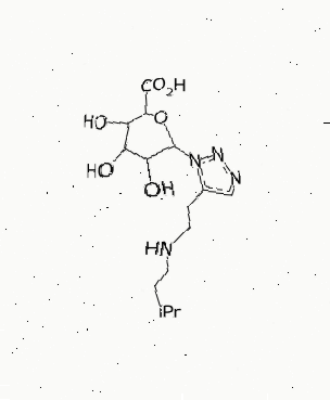 CC(C)CCNCCc1cnnn1C1OC(C(=O)O)C(O)C(O)C1O